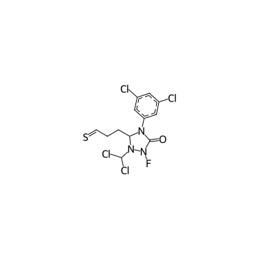 O=C1N(c2cc(Cl)cc(Cl)c2)C(CCC=S)N(C(Cl)Cl)N1F